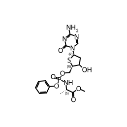 COC(=O)[C@H](C)NP(=O)(OC[C@H]1S[C@@H](n2cnc(N)nc2=O)CC1O)Oc1ccccc1